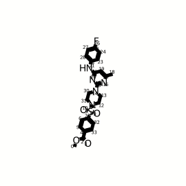 COC(=O)c1ccc(S(=O)(=O)N2CCN(c3nc(C)cc(Nc4ccc(F)cc4)n3)CC2)cc1